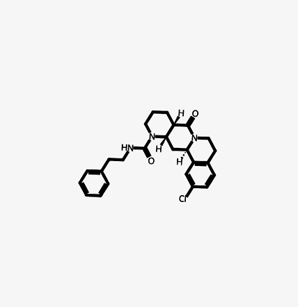 O=C1[C@H]2CCCN(C(=O)NCCc3ccccc3)[C@H]2C[C@@H]2c3cc(Cl)ccc3CCN12